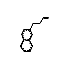 C=CCCc1ccc2ccccc2c1